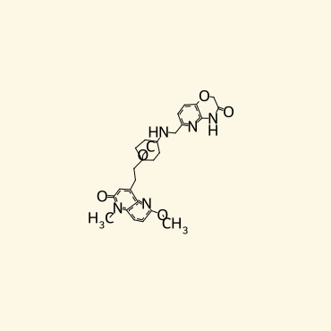 COc1ccc2c(n1)c(CCC13CCC(NCc4ccc5c(n4)NC(=O)CO5)(CC1)CO3)cc(=O)n2C